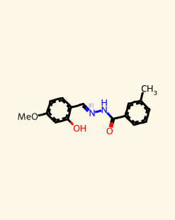 COc1ccc(/C=N/NC(=O)c2cccc(C)c2)c(O)c1